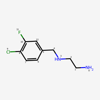 NCCNCc1ccc(Cl)c(F)c1